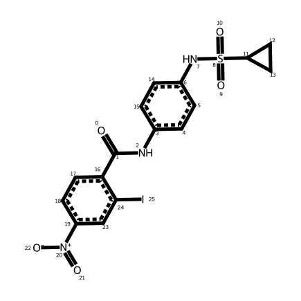 O=C(Nc1ccc(NS(=O)(=O)C2CC2)cc1)c1ccc([N+](=O)[O-])cc1I